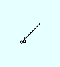 CCCCCCCCCCCCCCCCP(I)c1cccc(OC)c1